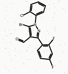 O=Cc1c(-c2ccc(F)cc2F)nn(-c2ccccc2Cl)c1Br